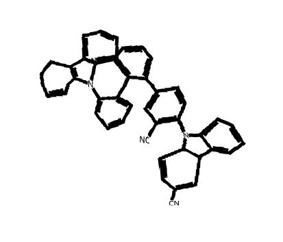 N#CC1=CC2c3ccccc3N(c3ccc(-c4cccc(C#N)c4-c4ccccc4-n4c5c(c6ccccc64)CCC=C5)cc3C#N)C2C=C1